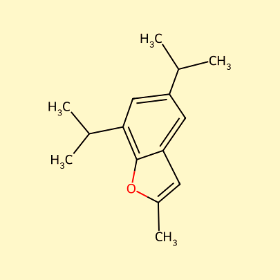 Cc1cc2cc(C(C)C)cc(C(C)C)c2o1